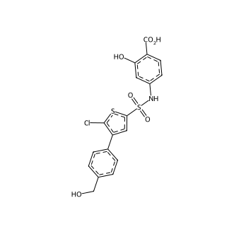 O=C(O)c1ccc(NS(=O)(=O)c2cc(-c3ccc(CO)cc3)c(Cl)s2)cc1O